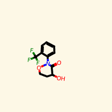 O=C1C(O)CCON1c1ccccc1C(F)(F)F